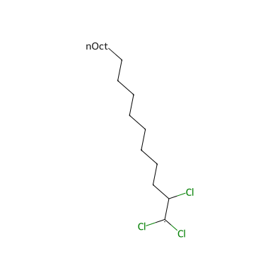 CCCCCCCCCCCCCCCCC(Cl)[C](Cl)Cl